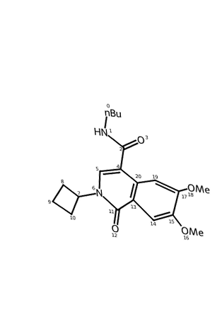 CCCCNC(=O)c1cn(C2CCC2)c(=O)c2cc(OC)c(OC)cc12